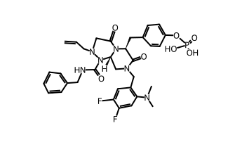 C=CCN1CC(=O)N2[C@@H](Cc3ccc(OP(=O)(O)O)cc3)C(=O)N(Cc3cc(F)c(F)cc3N(C)C)C[C@@H]2N1C(=O)NCc1ccccc1